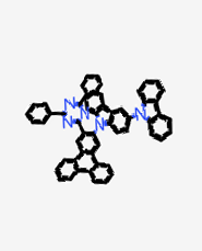 c1ccc(-c2nc(-c3ccccc3)nc(-c3cc4c5ccccc5c5ccccc5c4cc3-n3c4ccccc4c4cc(-n5c6ccccc6c6ccccc65)ccc43)n2)cc1